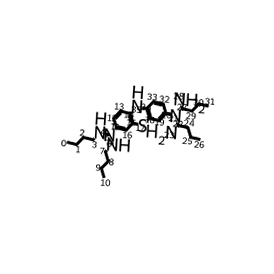 CCCCNN(NCCCC)c1ccc2c(c1)Sc1cc(N(C(N)CCC)C(N)CCC)ccc1N2